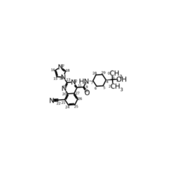 CC(C)(O)[C@H]1CC[C@H](NC(=O)c2nc(-n3ccnc3)nc3c(C#N)cccc23)CC1